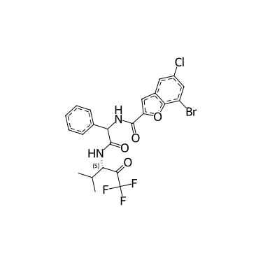 CC(C)[C@H](NC(=O)C(NC(=O)c1cc2cc(Cl)cc(Br)c2o1)c1ccccc1)C(=O)C(F)(F)F